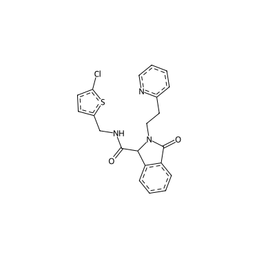 O=C(NCc1ccc(Cl)s1)C1c2ccccc2C(=O)N1CCc1ccccn1